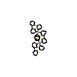 c1ccc([Si](c2ccccc2)(c2cccc3c2sc2ccccc23)c2cccc3c2sc2c([Si](c4ccccc4)(c4ccccc4)c4cccc5c4sc4ccccc45)cccc23)cc1